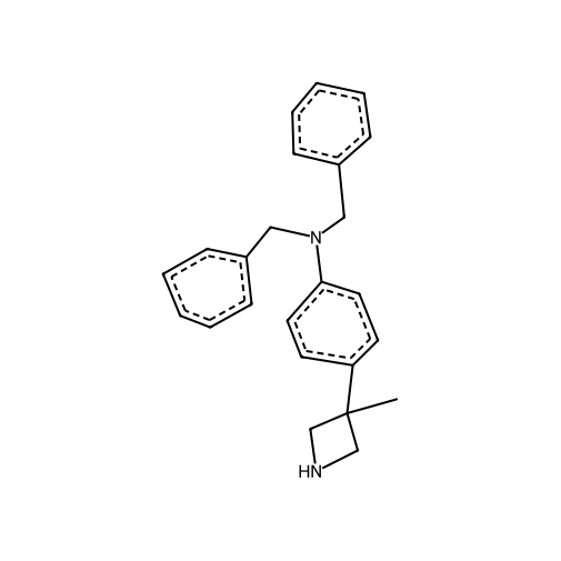 CC1(c2ccc(N(Cc3ccccc3)Cc3ccccc3)cc2)CNC1